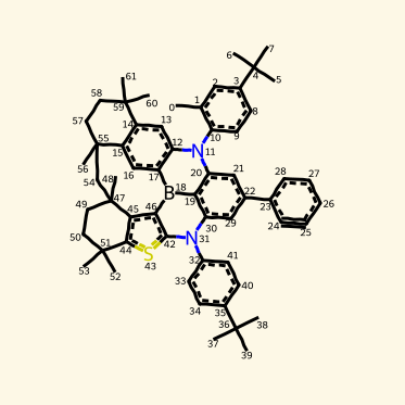 Cc1cc(C(C)(C)C)ccc1N1c2cc3c4cc2B2c5c1cc(-c1c#cccc1)cc5N(c1ccc(C(C)(C)C)cc1)c1sc5c(c12)C(C)(CCC5(C)C)CC4(C)CCC3(C)C